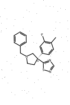 Cc1ccc([C@]2(c3ncns3)CCN(Cc3ccccc3)C2)cc1F